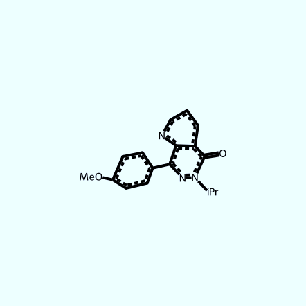 COc1ccc(-c2nn(C(C)C)c(=O)c3cccnc23)cc1